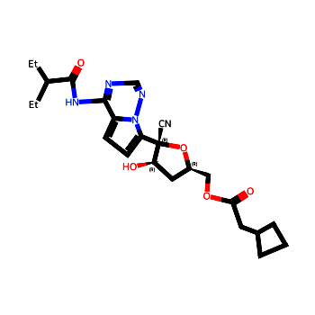 CCC(CC)C(=O)Nc1ncnn2c([C@]3(C#N)O[C@@H](COC(=O)CC4CCC4)[CH][C@H]3O)ccc12